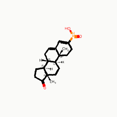 C[C@]12CCC([PH](=O)O)=CC1=CC[C@@H]1[C@@H]2CC[C@]2(C)C(=O)CC[C@@H]12